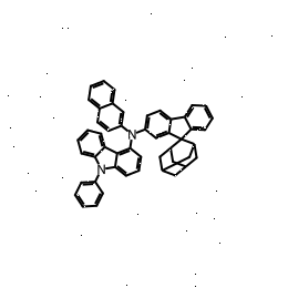 c1ccc(-n2c3ccccc3c3c(N(c4ccc5c(c4)C4(c6ccccc6-5)C5CC6CC(C5)CC4C6)c4ccc5ccccc5c4)cccc32)cc1